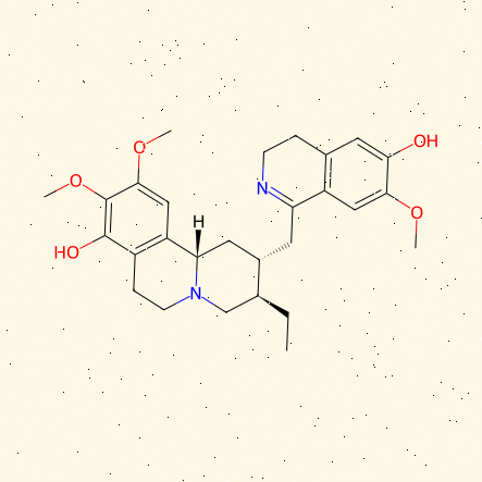 CC[C@H]1CN2CCc3c(cc(OC)c(OC)c3O)[C@@H]2C[C@@H]1CC1=NCCc2cc(O)c(OC)cc21